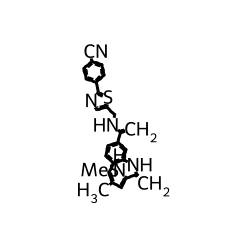 C=C1Nc2cc(C(=C)NCc3cnc(-c4ccc(C#N)cc4)s3)ccc2/C=C(C)\C=C\1NSC